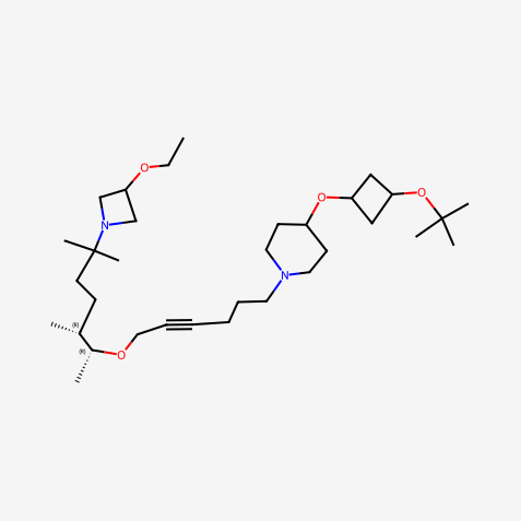 CCOC1CN(C(C)(C)CC[C@@H](C)[C@@H](C)OCC#CCCCN2CCC(OC3CC(OC(C)(C)C)C3)CC2)C1